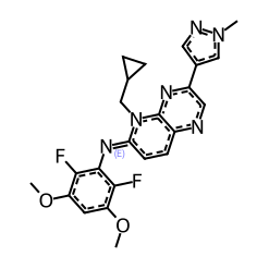 COc1cc(OC)c(F)c(/N=c2\ccc3ncc(-c4cnn(C)c4)nc3n2CC2CC2)c1F